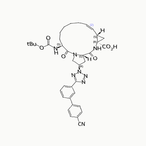 CC(C)(C)OC(=O)N[C@H]1CCCCC/C=C\[C@@H]2C[C@@]2(C(=O)O)NC(=O)[C@@H]2C[C@@H](n3nnc(-c4cccc(-c5ccc(C#N)cc5)c4)n3)CN2C1=O